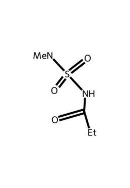 CCC(=O)NS(=O)(=O)NC